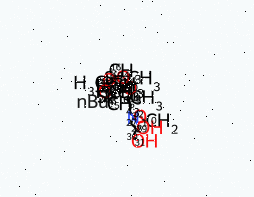 C=CON(CCC[Si](C)(C)O[Si](C)(C)O[Si](C)(C)O[Si](C)(C)O[Si](C)(C)CCCC)CC(O)CO